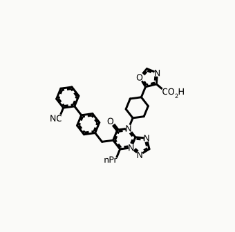 CCCc1c(Cc2ccc(-c3ccccc3C#N)cc2)c(=O)n(C2CCC(c3ocnc3C(=O)O)CC2)c2ncnn12